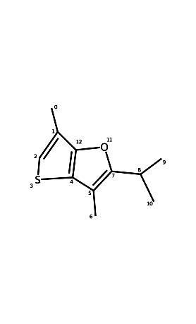 Cc1csc2c(C)c(C(C)C)oc12